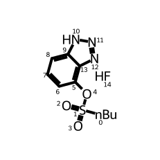 CCCCS(=O)(=O)Oc1cccc2[nH]nnc12.F